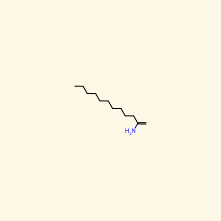 C=C(N)CCCCCCCCCC